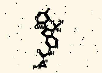 [2H]C([2H])([2H])n1c(-c2cc(F)cnc2OC)cc2cc(NC(=O)[C@@H]3C[C@@H]3F)ncc21